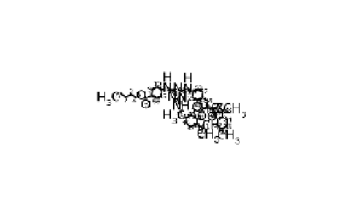 CCCCCOC(=O)c1ccc(Nc2nc(N)nc(Nc3ccc(C=C(C(=O)OC4CC(C)CCC4C(C)C)C(=O)OC4CC(C)CCC4C(C)C)cc3)n2)cc1